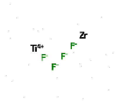 [F-].[F-].[F-].[F-].[Ti+4].[Zr]